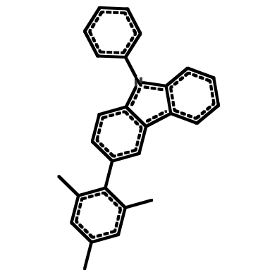 Cc1cc(C)c(-c2ccc3c(c2)c2ccccc2n3-c2ccccc2)c(C)c1